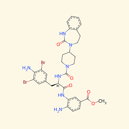 COC(=O)c1ccc(N)c(NC(=O)[C@@H](Cc2cc(Br)c(N)c(Br)c2)NC(=O)N2CCC(N3CCc4ccccc4NC3=O)CC2)c1